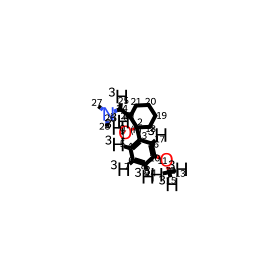 [3H]O[C@]1(c2c([3H])c([3H])c([3H])c(OC([3H])([3H])[3H])c2[3H])CCCC[C@]1([3H])C([3H])N(C)C